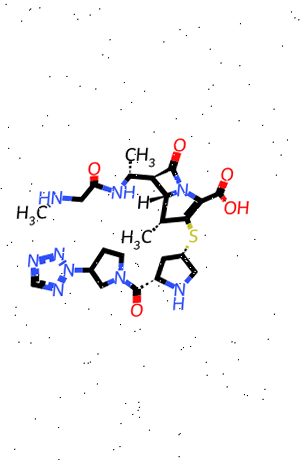 CNCC(=O)N[C@H](C)[C@H]1C(=O)N2C(C(=O)O)=C(S[C@@H]3CN[C@H](C(=O)N4CCC(n5ncnn5)C4)C3)[C@H](C)[C@H]12